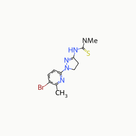 CNC(=S)NC1=NN(c2ccc(Br)c(C)n2)CC1